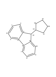 c1ccc2c(c1)-c1ccccc1C2[C]1CCCC1